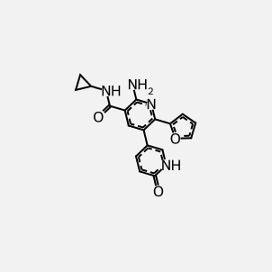 Nc1nc(-c2ccco2)c(-c2ccc(=O)[nH]c2)cc1C(=O)NC1CC1